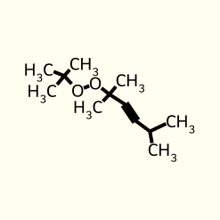 CC(C)C#CC(C)(C)OOC(C)(C)C